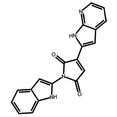 O=C1C=C(c2cc3cccnc3[nH]2)C(=O)N1c1cc2ccccc2[nH]1